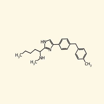 CCCCC(NC)c1nc(-c2ccc(Cc3ccc(C)cc3)cc2)c[nH]1